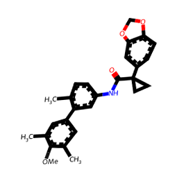 COc1c(C)cc(-c2cc(NC(=O)C3(c4ccc5c(c4)OCO5)CC3)ccc2C)cc1C